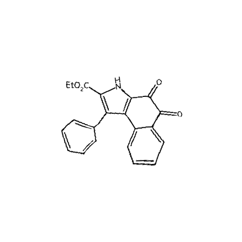 CCOC(=O)c1[nH]c2c(c1-c1ccccc1)-c1ccccc1C(=O)C2=O